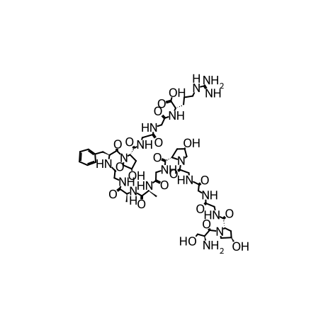 C[C@H](NC(=O)CNC(=O)[C@@H]1C[C@@H](O)CN1C(=O)CNC(=O)CNC(=O)CNC(=O)[C@@H]1C[C@@H](O)CN1C(=O)[C@@H](N)CO)C(=O)N[C@@H](C)C(=O)NCC(=O)N[C@@H](Cc1ccccc1)C(=O)N1C[C@H](O)C[C@H]1C(=O)NCC(=O)NCC(=O)N[C@@H](CCCNC(=N)N)C(=O)O